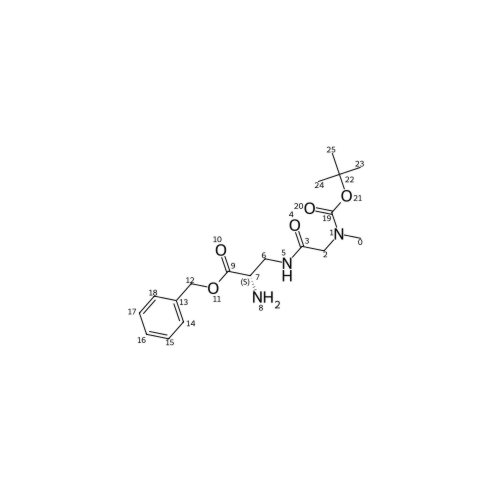 CN(CC(=O)NC[C@H](N)C(=O)OCc1ccccc1)C(=O)OC(C)(C)C